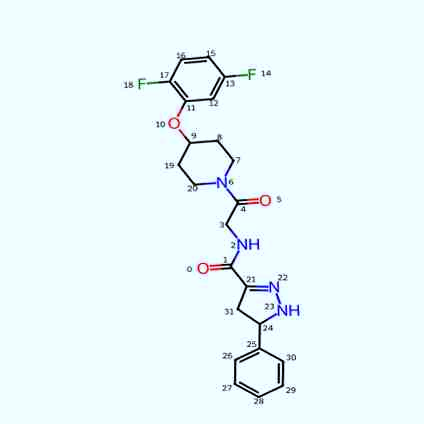 O=C(NCC(=O)N1CCC(Oc2cc(F)ccc2F)CC1)C1=NNC(c2ccccc2)C1